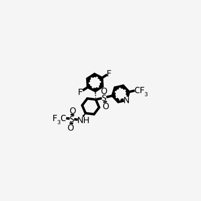 O=S(=O)(N[C@H]1CC[C@@](c2cc(F)ccc2F)(S(=O)(=O)c2ccc(C(F)(F)F)nc2)CC1)C(F)(F)F